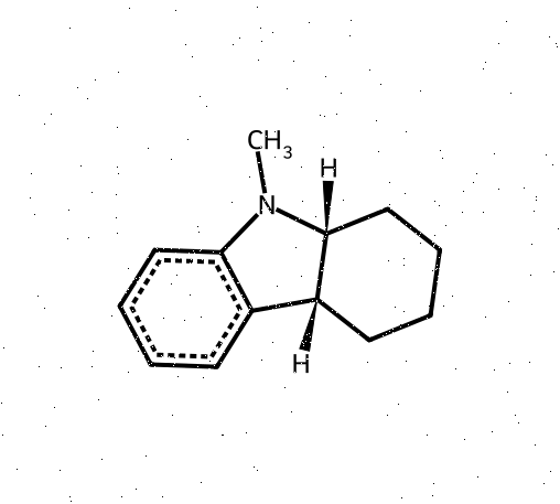 CN1c2ccccc2[C@H]2CCCC[C@H]21